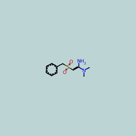 CN(C)/C(N)=C/S(=O)(=O)Cc1ccccc1